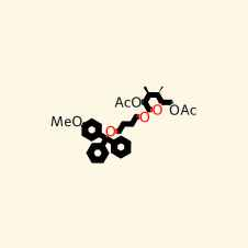 COc1ccc(C(OCCCCO[C@@H]2OC(COC(C)=O)[C@@H](C)[C@H](C)C2OC(C)=O)(c2ccccc2)c2ccccc2)cc1